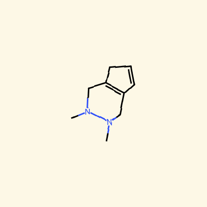 CN1CC2=C(CC=C2)CN1C